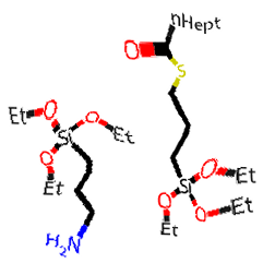 CCCCCCCC(=O)SCCC[Si](OCC)(OCC)OCC.CCO[Si](CCCN)(OCC)OCC